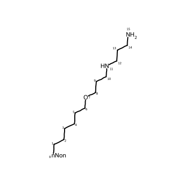 CCCCCCCCCCCCCCCOCCCNCCCN